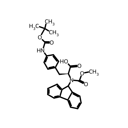 COC(=O)N(C1c2ccccc2-c2ccccc21)[C@@H](Cc1ccc(NC(=O)OC(C)(C)C)cc1)C(=O)O